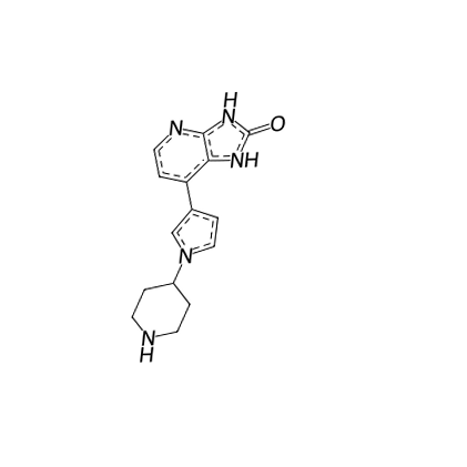 O=c1[nH]c2nccc(-c3ccn(C4CCNCC4)c3)c2[nH]1